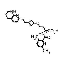 Cc1ccc(C)c(C(=O)N[C@@H](CCOC2CC(CCc3ccc4c(n3)NCCC4)C2)C(=O)O)n1